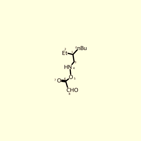 CCCCC(CC)CNOC(=O)C=O